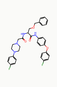 O=C(CN1CCN(c2ccc(F)cc2)CC1)NC(COCc1ccccc1)C(=O)Nc1ccc(Oc2ccc(F)cc2)cc1